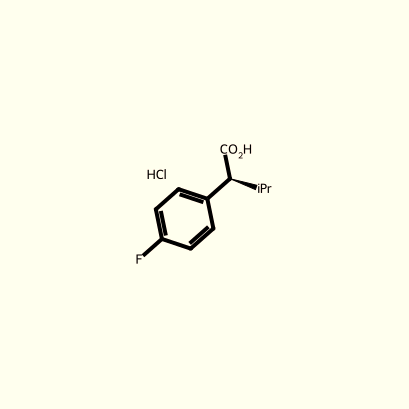 CC(C)[C@H](C(=O)O)c1ccc(F)cc1.Cl